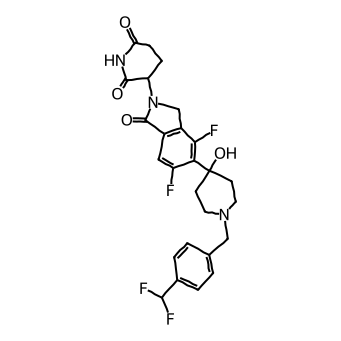 O=C1CCC(N2Cc3c(cc(F)c(C4(O)CCN(Cc5ccc(C(F)F)cc5)CC4)c3F)C2=O)C(=O)N1